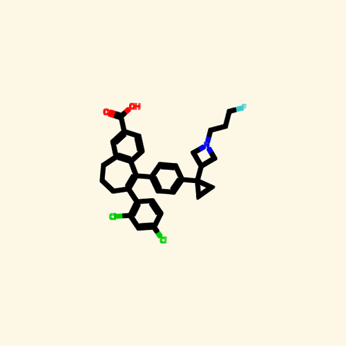 O=C(O)c1ccc2c(c1)CCCC(c1ccc(Cl)cc1Cl)=C2c1ccc(C2(C3CN(CCCF)C3)CC2)cc1